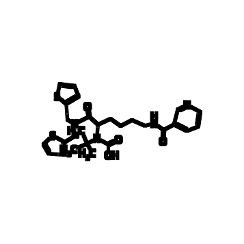 CC(C)(C)N(C(=O)O)C(CCCCNC(=O)c1cccnc1)C(=O)N(Cc1cccs1)Cc1cccs1